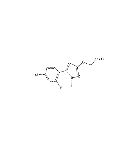 Cn1nc(OCC(=O)O)cc1-c1ccc(Cl)cc1F